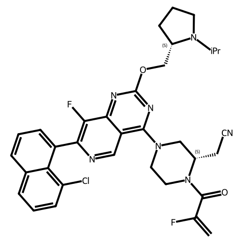 C=C(F)C(=O)N1CCN(c2nc(OC[C@@H]3CCCN3C(C)C)nc3c(F)c(-c4cccc5cccc(Cl)c45)ncc23)C[C@@H]1CC#N